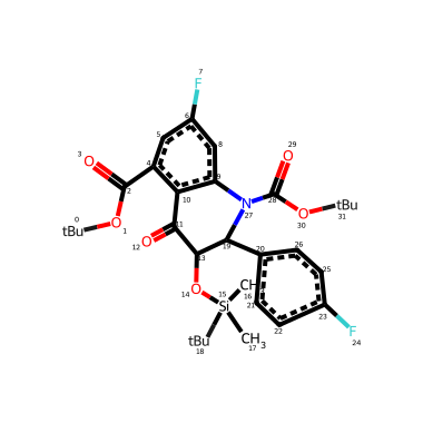 CC(C)(C)OC(=O)c1cc(F)cc2c1C(=O)C(O[Si](C)(C)C(C)(C)C)C(c1ccc(F)cc1)N2C(=O)OC(C)(C)C